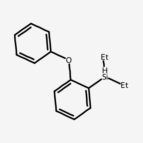 CC[SiH](CC)c1ccccc1Oc1ccccc1